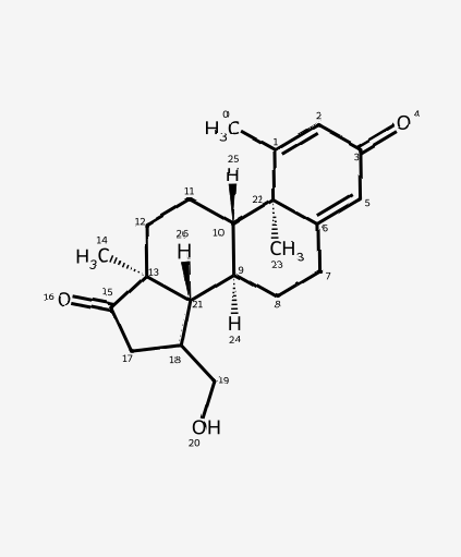 CC1=CC(=O)C=C2CC[C@@H]3[C@H](CC[C@]4(C)C(=O)CC(CO)[C@@H]34)[C@@]12C